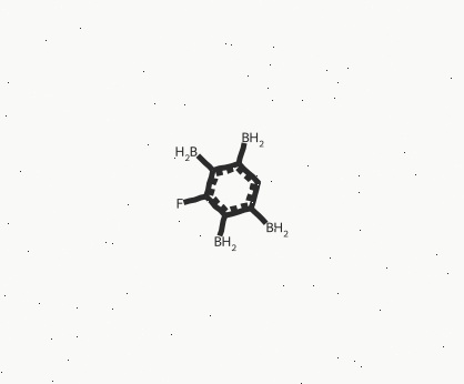 Bc1cc(B)c(B)c(F)c1B